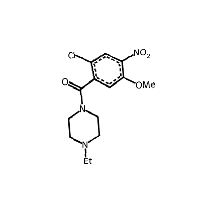 CCN1CCN(C(=O)c2cc(OC)c([N+](=O)[O-])cc2Cl)CC1